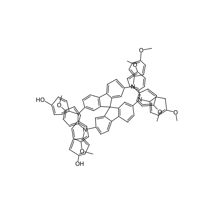 COC1=C=C=C(N(c2ccc(OC)cc2)c2ccc3c(c2)C2(c4cc(C(c5ccc(O)cc5)c5ccc(OC)cc5)ccc4-3)c3cc(N(C4=CC=C(OC)CC4)c4ccc(OC)cc4)ccc3-c3ccc(N(c4ccc(O)cc4)c4ccc(OC)cc4)cc32)C=C1